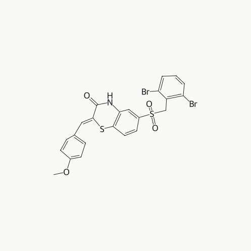 COc1ccc(C=C2Sc3ccc(S(=O)(=O)Cc4c(Br)cccc4Br)cc3NC2=O)cc1